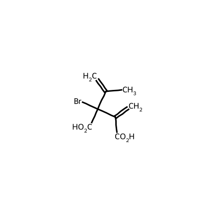 C=C(C)C(Br)(C(=C)C(=O)O)C(=O)O